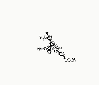 COCC1(CN(C)c2cc(-c3cnc(C4CC4)c(C(F)(F)F)c3)nc3nc(NC(=O)c4ccc(CCC(=O)O)nc4)[nH]c23)CCCC1